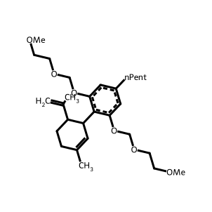 C=C(C)C1CCC(C)=CC1c1c(OCOCCOC)cc(CCCCC)cc1OCOCCOC